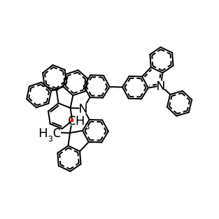 CC1(C)c2ccccc2-c2cccc(N(c3cccc(-c4ccc5c(c4)c4ccccc4n5-c4ccccc4)c3)C3(c4ccccc4-c4ccccc4)CC=CC=C3c3ccccc3)c21